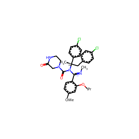 C/N=C(/c1ccc(OC)cc1OC(C)C)N(C(=O)N1CCNC(=O)C1)[C@@](C)(Cc1ccc(Cl)cc1)c1ccc(Cl)cc1